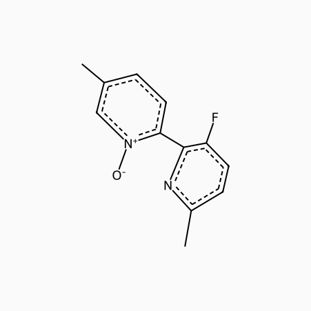 Cc1ccc(-c2nc(C)ccc2F)[n+]([O-])c1